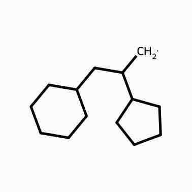 [CH2]C(CC1CCCCC1)C1CCCC1